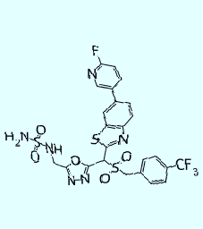 NS(=O)(=O)NCc1nnc(C(c2nc3ccc(-c4ccc(F)nc4)cc3s2)S(=O)(=O)Cc2ccc(C(F)(F)F)cc2)o1